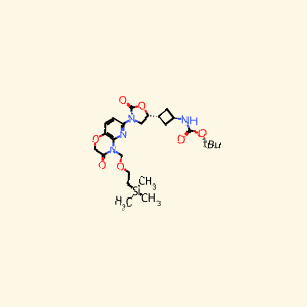 CC(C)(C)OC(=O)N[C@H]1C[C@H](C2CN(c3ccc4c(n3)N(COCC[Si](C)(C)C)C(=O)CO4)C(=O)O2)C1